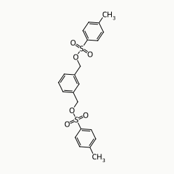 Cc1ccc(S(=O)(=O)OCc2cccc(COS(=O)(=O)c3ccc(C)cc3)c2)cc1